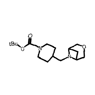 CC(C)(C)OC(=O)N1CCC(CN2C3COCC2C3)CC1